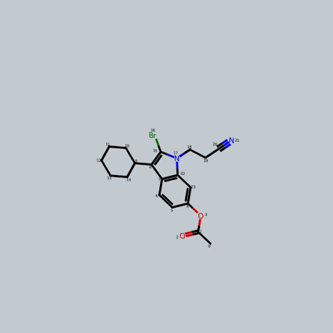 CC(=O)Oc1ccc2c(C3CCCCC3)c(Br)n(CCC#N)c2c1